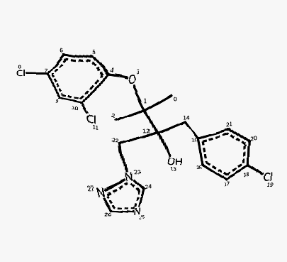 CC(C)(Oc1ccc(Cl)cc1Cl)C(O)(Cc1ccc(Cl)cc1)Cn1cncn1